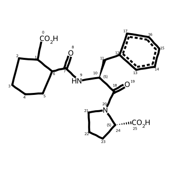 O=C(O)C1CCCCC1C(=O)N[C@@H](Cc1ccccc1)C(=O)N1CCC[C@H]1C(=O)O